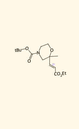 CCOC(=O)/C=C/C1(C)CN(C(=O)OC(C)(C)C)CCO1